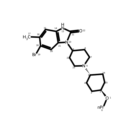 CCCO[C@H]1CC[C@H](N2CCC(n3c(=O)[nH]c4cc(C)c(Br)cc43)CC2)CC1